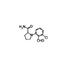 NC(=O)C1CCCN1c1cccc(Cl)c1C=O